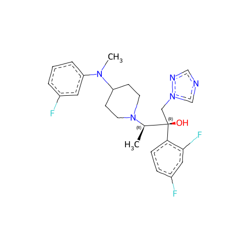 C[C@@H](N1CCC(N(C)c2cccc(F)c2)CC1)[C@](O)(Cn1cncn1)c1ccc(F)cc1F